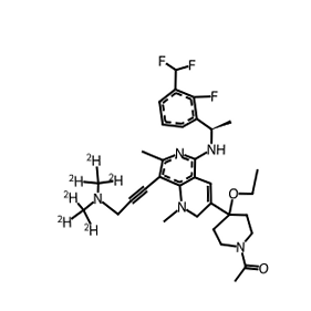 [2H]C([2H])([2H])N(CC#Cc1c(C)nc(N[C@H](C)c2cccc(C(F)F)c2F)c2c1N(C)CC(C1(OCC)CCN(C(C)=O)CC1)=C2)C([2H])([2H])[2H]